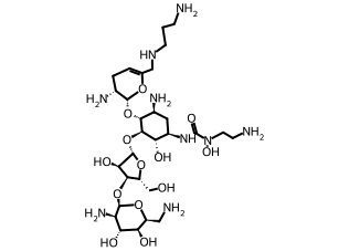 NCCCNCC1=CC[C@@H](N)[C@@H](O[C@H]2[C@H](O[C@@H]3O[C@H](CO)[C@@H](O[C@H]4O[C@@H](CN)[C@@H](O)[C@H](O)[C@H]4N)[C@H]3O)[C@@H](O)[C@H](NC(=O)N(O)CCN)C[C@@H]2N)O1